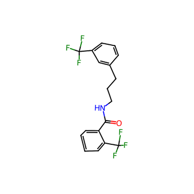 O=C(NCCCc1cccc(C(F)(F)F)c1)c1ccccc1C(F)(F)F